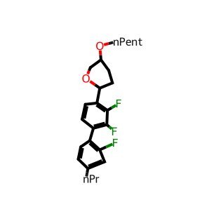 CCCCCOC1CCC(c2ccc(-c3ccc(CCC)cc3F)c(F)c2F)OC1